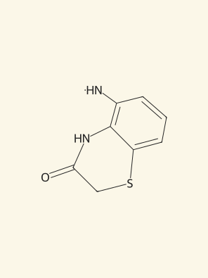 [NH]c1cccc2c1NC(=O)CS2